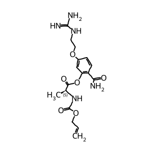 C=CCOC(=O)N[C@@H](C)C(=O)Oc1cc(OCCNC(=N)N)ccc1C(N)=O